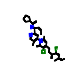 C=C(CCC1=C(Cl)C(=C)N(c2cc(C(/C=C\C)=N/C(=C)C3CCCC3)ncc2C)C(C)=C1)/C(F)=C\C(C)=C/C